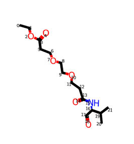 CCOC(=O)CCOCCOCCC(=O)N[C@H]([C]=O)C(C)C